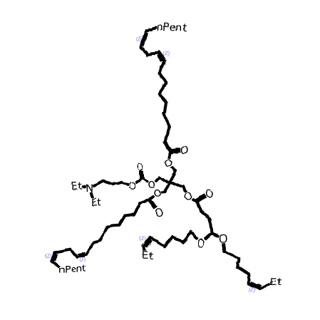 CC/C=C\CCCCOC(CCC(=O)OCC(COC(=O)CCCCCCC/C=C\C/C=C\CCCCC)(COC(=O)CCCCCCC/C=C\C/C=C\CCCCC)COC(=O)OCCCN(CC)CC)OCCCC/C=C\CC